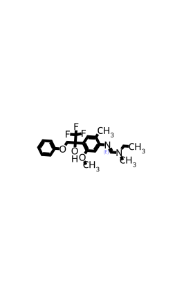 CCN(C)/C=N/c1cc(OC)c(C(O)(COc2ccccc2)C(F)(F)F)cc1C